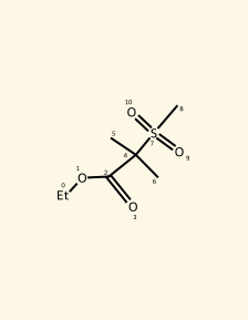 CCOC(=O)C(C)(C)S(C)(=O)=O